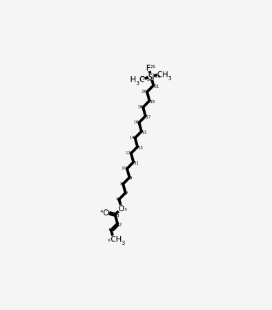 CC=CC(=O)OCCCCCCCCCCCCCCCC[Si](C)(C)F